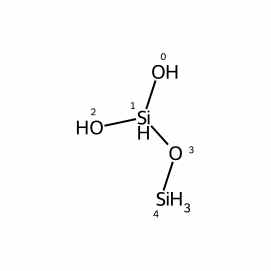 O[SiH](O)O[SiH3]